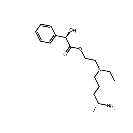 CCN(CCC[C@@H](C)N)CCOC(=O)[C@H](O)c1ccccc1